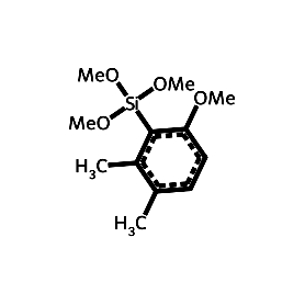 COc1ccc(C)c(C)c1[Si](OC)(OC)OC